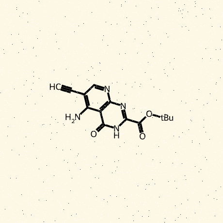 C#Cc1cnc2nc(C(=O)OC(C)(C)C)[nH]c(=O)c2c1N